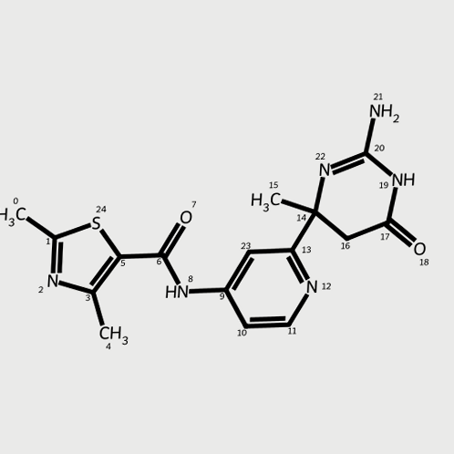 Cc1nc(C)c(C(=O)Nc2ccnc(C3(C)CC(=O)NC(N)=N3)c2)s1